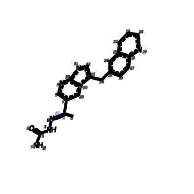 C/C(=N\NC(N)=O)c1cnc2ncc(Cc3ccc4ncccc4c3)n2c1